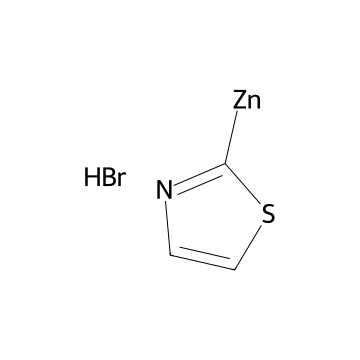 Br.[Zn][c]1nccs1